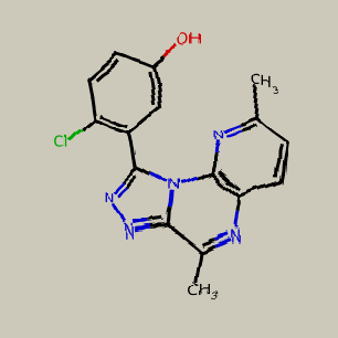 Cc1ccc2nc(C)c3nnc(-c4cc(O)ccc4Cl)n3c2n1